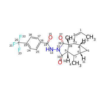 C/C=C\C1[C@@H]2C[C@@H]2C(C)[C@@H]2C(=O)N(NC(=O)c3ccc(C(F)(F)F)cc3)C(=O)[C@]12C